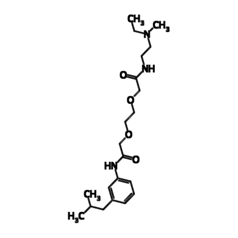 CCN(C)CCNC(=O)COCCOCC(=O)Nc1cccc(CC(C)C)c1